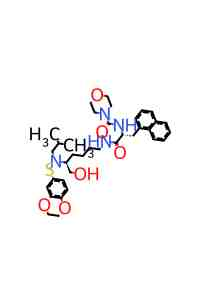 CC(C)CN(Sc1ccc2c(c1)OCCO2)[C@H](CO)CCCCNC(=O)[C@@H](Cc1cccc2ccccc12)NC(=O)N1CCOCC1